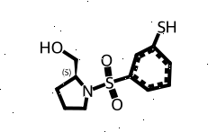 O=S(=O)(c1cccc(S)c1)N1CCC[C@H]1CO